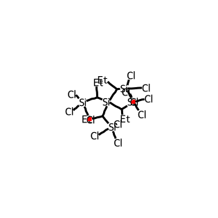 CCC([Si](Cl)(Cl)Cl)[Si](C(CC)[Si](Cl)(Cl)Cl)(C(CC)[Si](Cl)(Cl)Cl)C(CC)[Si](Cl)(Cl)Cl